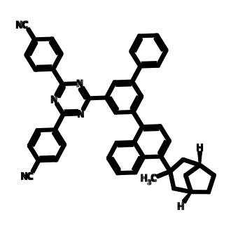 CC1(c2ccc(-c3cc(-c4ccccc4)cc(-c4nc(-c5ccc(C#N)cc5)nc(-c5ccc(C#N)cc5)n4)c3)c3ccccc23)C[C@@H]2CC[C@@H](C2)C1